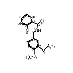 COc1ccc(CNC(C)c2nccnc2Cl)cc1OC